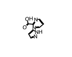 O=C(O)c1ncccn1.c1cn[nH]c1